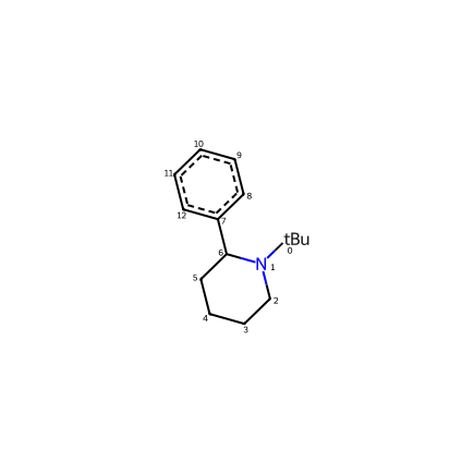 CC(C)(C)N1CCCCC1c1ccccc1